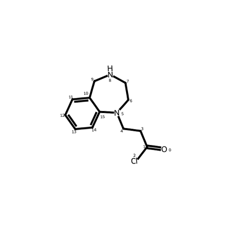 O=C(Cl)CCN1CCNCc2ccccc21